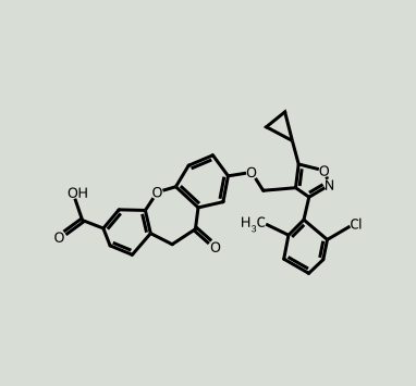 Cc1cccc(Cl)c1-c1noc(C2CC2)c1COc1ccc2c(c1)C(=O)Cc1ccc(C(=O)O)cc1O2